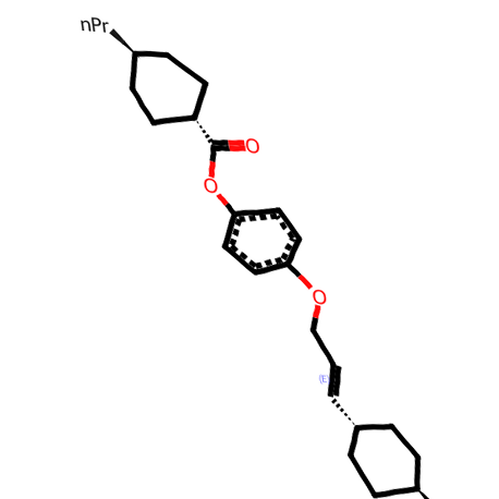 CCCCC[C@H]1CC[C@H](/C=C/COc2ccc(OC(=O)[C@H]3CC[C@H](CCC)CC3)cc2)CC1